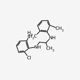 Cc1cccc(C)c1NC(C)CNc1c(C)cccc1Cl